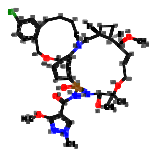 COc1nn(C)cc1C(=O)NS1(=O)=NC(=O)C(C)(C)OC/C=C/[C@H](OC)[C@@H]2CC[C@H]2CN2CCCCc3cc(Cl)ccc3COc3ccc1cc32